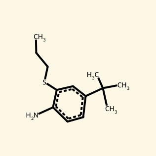 CCCSc1cc(C(C)(C)C)ccc1N